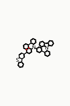 C1=CC2Sc3ccccc3C2C=C1c1ccc(N(c2ccc(-c3ccccc3-n3c4ccccc4c4ccccc43)cc2)c2ccccc2-c2ccccc2)cc1